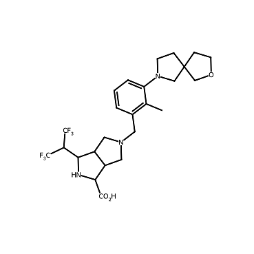 Cc1c(CN2CC3C(C(=O)O)NC(C(C(F)(F)F)C(F)(F)F)C3C2)cccc1N1CCC2(CCOC2)C1